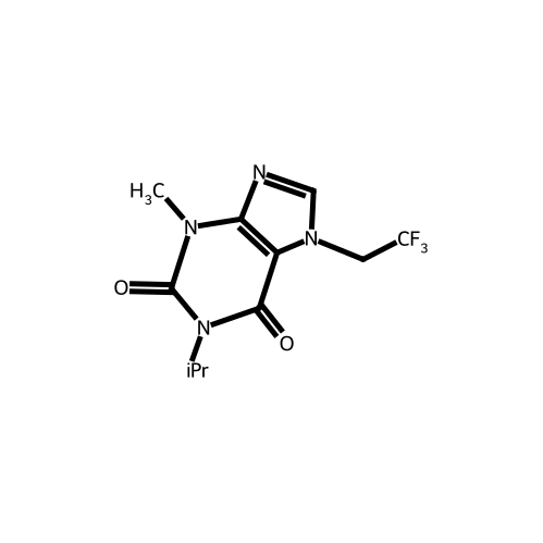 CC(C)n1c(=O)c2c(ncn2CC(F)(F)F)n(C)c1=O